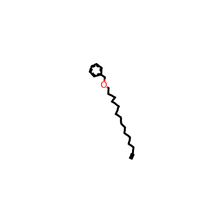 C#CCCCCCCCCCCCCCOCc1ccccc1